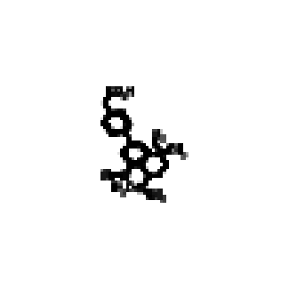 CC(C)Oc1cc(-c2ccc(CC(=O)O)cc2)cc2c1C(N(C)C)CCC2(C)C